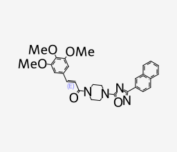 COc1cc(/C=C/C(=O)N2CCN(c3nc(-c4ccc5ccccc5c4)no3)CC2)cc(OC)c1OC